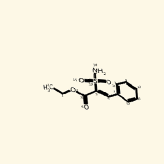 CCOC(=O)C(=Cc1ccccc1)S(N)(=O)=O